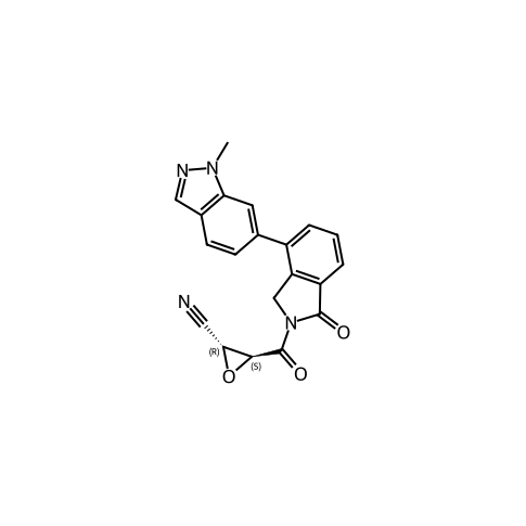 Cn1ncc2ccc(-c3cccc4c3CN(C(=O)[C@H]3O[C@@H]3C#N)C4=O)cc21